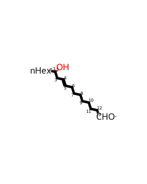 CCCCCCC(O)C/C=C/CCCCCCC[C]=O